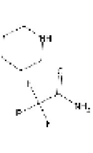 C1CCNCC1.NC(=O)C(F)(F)F